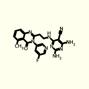 Cc1cccc2nc(CCNc3nc(N)nc(N)c3C#N)n(-c3cncc(F)c3)c(=O)c12